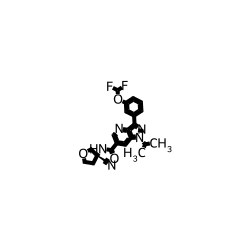 CC(C)n1nc(-c2cccc(OC(F)F)c2)c2ncc(C(=O)N[C@]3(C#N)CCOC3)cc21